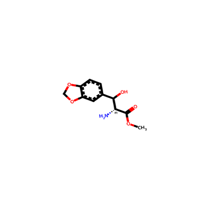 COC(=O)[C@H](N)C(O)c1ccc2c(c1)OCO2